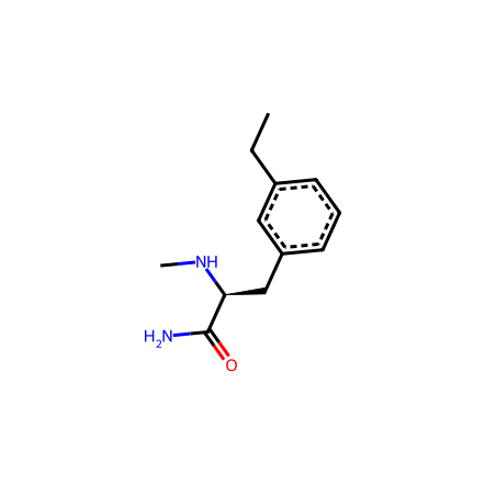 CCc1cccc(C[C@H](NC)C(N)=O)c1